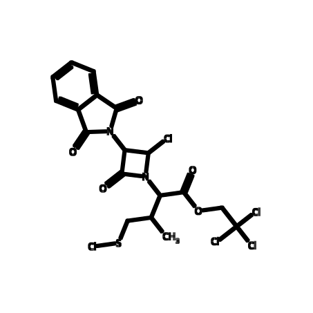 CC(CSCl)C(C(=O)OCC(Cl)(Cl)Cl)N1C(=O)C(N2C(=O)c3ccccc3C2=O)C1Cl